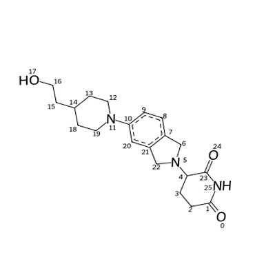 O=C1CCC(N2Cc3ccc(N4CCC(CCO)CC4)cc3C2)C(=O)N1